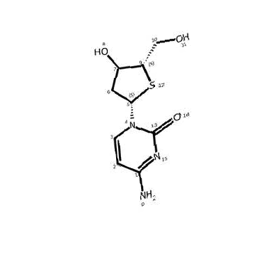 Nc1ccn([C@@H]2CC(O)[C@H](CO)S2)c(=O)n1